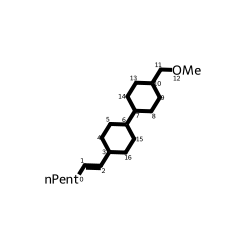 CCCCC/C=C/C1CCC(C2CCC(COC)CC2)CC1